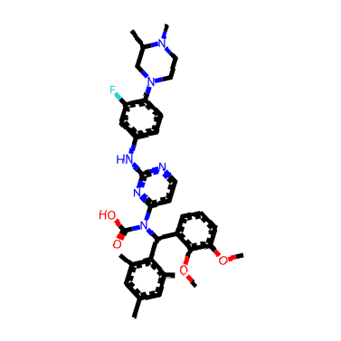 COc1cccc(C(c2c(C)cc(C)cc2C)N(C(=O)O)c2ccnc(Nc3ccc(N4CCN(C)C(C)C4)c(F)c3)n2)c1OC